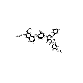 COc1cc2nccc(Oc3ccc(N4CC(Cc5ccccc5)N(S(=O)(=O)c5ccc(C)cc5)C4=O)cc3F)c2cc1OC